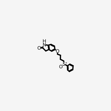 O=C1Cc2cc(OCCCC[S+]([O-])c3ccccc3)ccc2N1